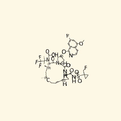 COc1cc(F)cc2c(O[C@@H]3C[C@H]4C(=O)N[C@]5(C(=O)NS(=O)(=O)C6(CF)CC6)C[C@H]5C=CCC[C@H](C)C[C@@H](C)[C@H](N(C(=O)O)C(C)(C)C(F)(F)F)C(=O)N4C3)nccc12